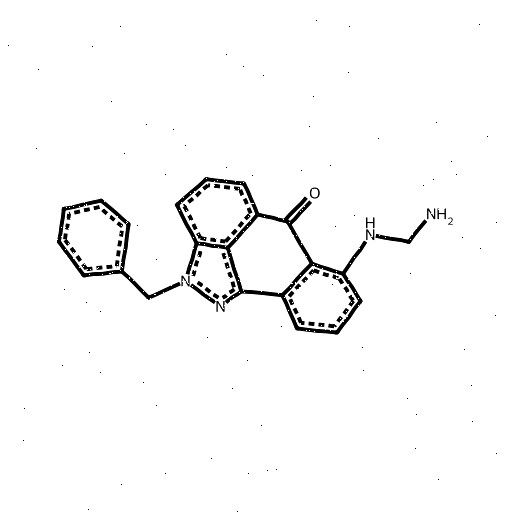 NCNc1cccc2c1C(=O)c1cccc3c1c-2nn3Cc1ccccc1